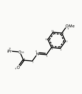 COc1ccc(C=NCC(=O)OC(C)C)cc1